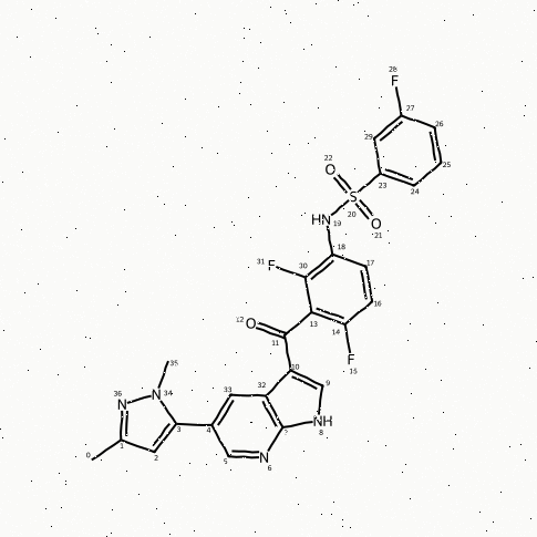 Cc1cc(-c2cnc3[nH]cc(C(=O)c4c(F)ccc(NS(=O)(=O)c5cccc(F)c5)c4F)c3c2)n(C)n1